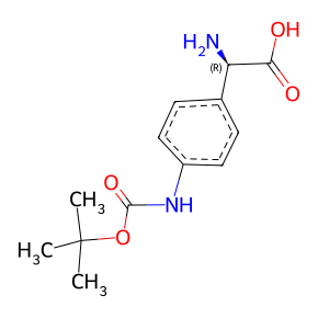 CC(C)(C)OC(=O)Nc1ccc([C@@H](N)C(=O)O)cc1